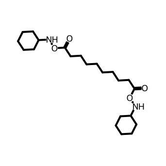 O=C(CCCCCCCCC(=O)ONC1CCCCC1)ONC1CCCCC1